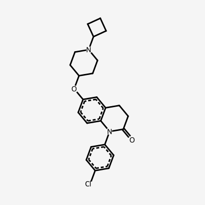 O=C1CCc2cc(OC3CCN(C4CCC4)CC3)ccc2N1c1ccc(Cl)cc1